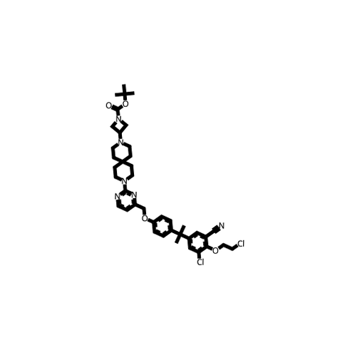 CC(C)(C)OC(=O)N1CC(N2CCC3(CCN(c4nccc(COc5ccc(C(C)(C)c6cc(Cl)c(OCCCl)c(C#N)c6)cc5)n4)CC3)CC2)C1